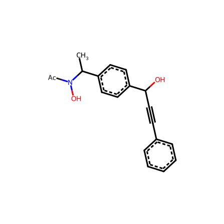 CC(=O)N(O)C(C)c1ccc(C(O)C#Cc2ccccc2)cc1